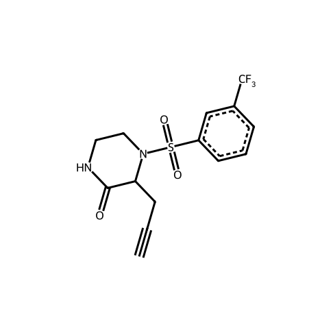 C#CCC1C(=O)NCCN1S(=O)(=O)c1cccc(C(F)(F)F)c1